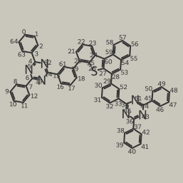 c1ccc(-c2nc(-c3ccccc3)nc(-c3cccc(-c4cccc5c4sc4c(-c6cccc(-c7nc(-c8ccccc8)nc(-c8ccccc8)n7)c6)cc6ccccc6c45)c3)n2)cc1